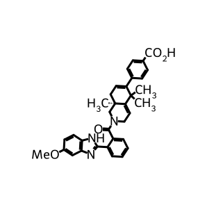 COc1ccc2[nH]c(-c3ccccc3C(=O)N3CC=C4C(C)(C)C(c5ccc(C(=O)O)cc5)=CC[C@]4(C)C3)nc2c1